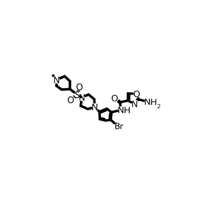 CN1CCC(S(=O)(=O)N2CCN(c3ccc(Br)c(NC(=O)c4coc(N)n4)c3)CC2)CC1